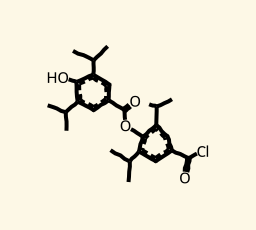 CC(C)c1cc(C(=O)Oc2c(C(C)C)cc(C(=O)Cl)cc2C(C)C)cc(C(C)C)c1O